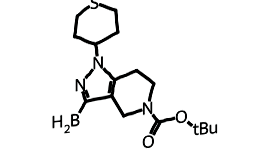 Bc1nn(C2CCSCC2)c2c1CN(C(=O)OC(C)(C)C)CC2